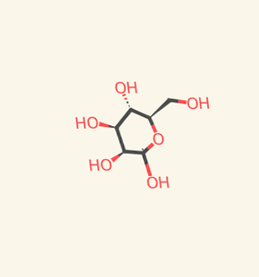 OC[C@H]1O[C](O)[C@@H](O)[C@@H](O)[C@@H]1O